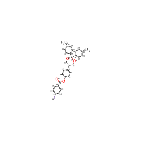 O=C(Oc1ccc(C2COC(c3ccc(C(F)(F)F)cc3)(c3ccc(C(F)(F)F)cc3)OC2)cc1)c1ccc(I)cc1